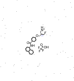 NC/C(=C\F)COc1ccc(C(=O)Nc2cccc3ccccc23)cc1.O=C(O)C(F)(F)F